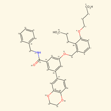 O=C(O)CCCOc1cccc(COc2cc(C(=O)NCc3ccccc3)cc(-c3ccc4c(c3)OCCO4)c2)c1CCC(=O)O